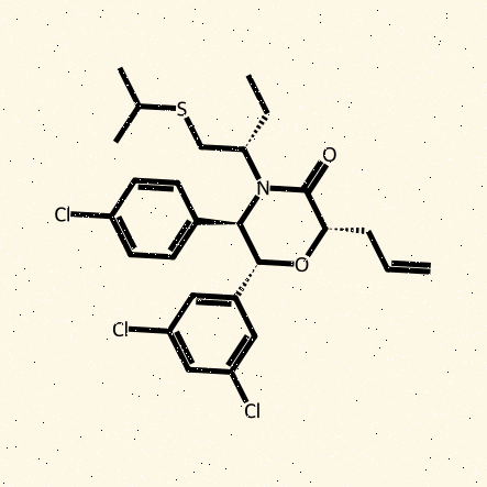 C=CC[C@@H]1O[C@H](c2cc(Cl)cc(Cl)c2)[C@@H](c2ccc(Cl)cc2)N([C@@H](CC)CSC(C)C)C1=O